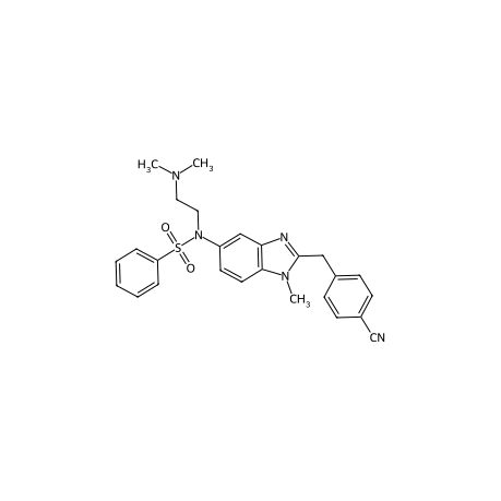 CN(C)CCN(c1ccc2c(c1)nc(Cc1ccc(C#N)cc1)n2C)S(=O)(=O)c1ccccc1